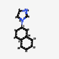 [c]1c(-n2ccnc2)ccc2ccccc12